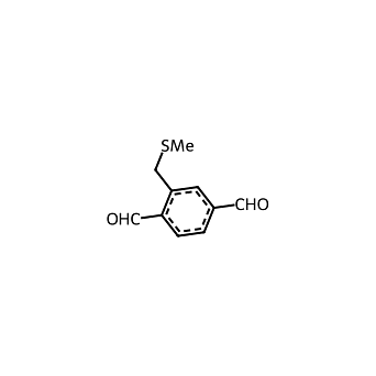 CSCc1cc(C=O)ccc1C=O